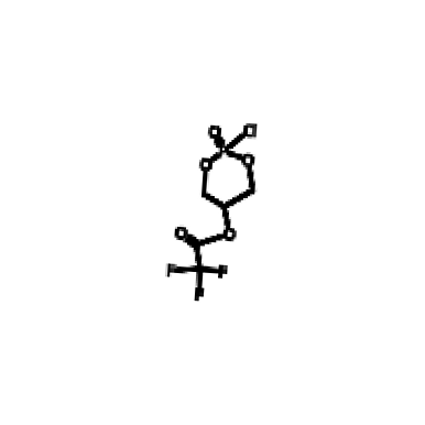 O=C(OC1COP(=O)(Cl)OC1)C(F)(F)F